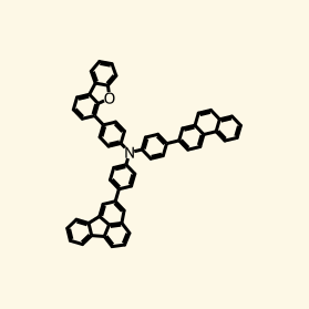 c1ccc2c(c1)-c1cccc3cc(-c4ccc(N(c5ccc(-c6ccc7c(ccc8ccccc87)c6)cc5)c5ccc(-c6cccc7c6oc6ccccc67)cc5)cc4)cc-2c13